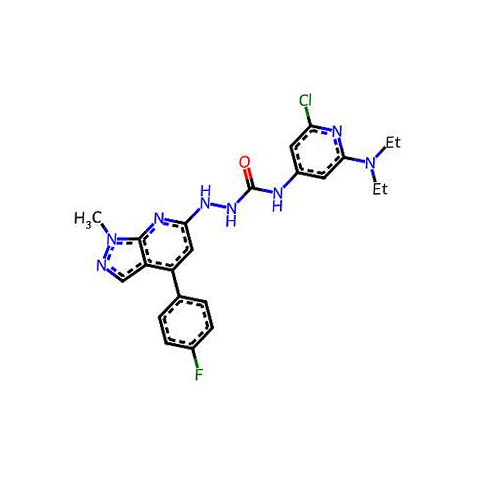 CCN(CC)c1cc(NC(=O)NNc2cc(-c3ccc(F)cc3)c3cnn(C)c3n2)cc(Cl)n1